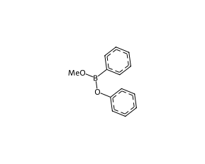 COB(Oc1ccccc1)c1ccccc1